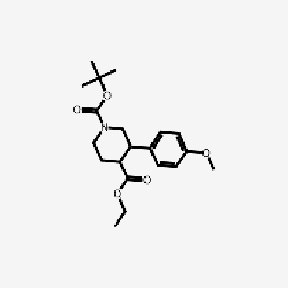 CCOC(=O)C1CCN(C(=O)OC(C)(C)C)CC1c1ccc(OC)cc1